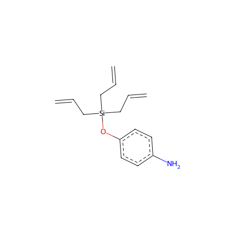 C=CC[Si](CC=C)(CC=C)Oc1ccc(N)cc1